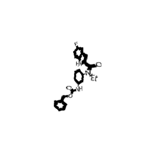 CCN(C(=O)c1cc2cc(F)ccc2[nH]1)[C@H]1CCC[C@@H](NC(=O)OCc2ccccc2)C1